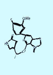 COc1cc(-c2cc3ncn(C)c3c(O[C@H](C)C3CNC(=O)C3)n2)ccc1F